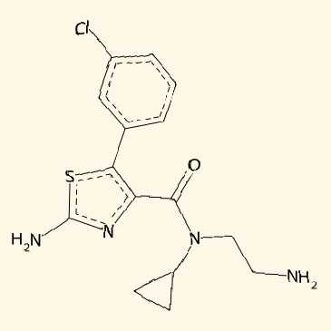 NCCN(C(=O)c1nc(N)sc1-c1cccc(Cl)c1)C1CC1